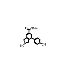 CNC(=O)c1cc2c(c(-c3ccc(C#N)cc3)c1)CN(C#N)C2